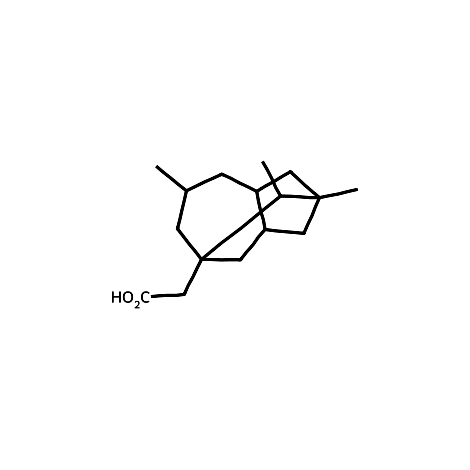 CC1CC2CC3(C)CC2CC(CC(=O)O)(C1)C3C